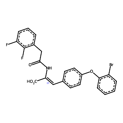 O=C(Cc1cccc(F)c1F)N/C(=C\c1ccc(Oc2ccccc2Br)cc1)C(=O)O